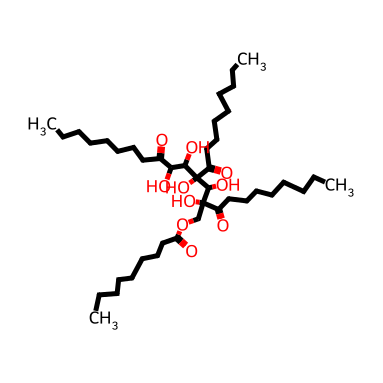 CCCCCCCCC(=O)OCC(O)(C(=O)CCCCCCCC)C(O)C(O)(C(=O)CCCCCCCC)C(O)C(O)C(=O)CCCCCCCC